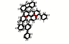 c1ccc(-c2ccc(N(c3ccccc3-c3ccccc3N(c3ccc(-c4ccccc4)cc3)c3cccc4sc5ccccc5c34)c3cccc4sc5ccccc5c34)cc2)cc1